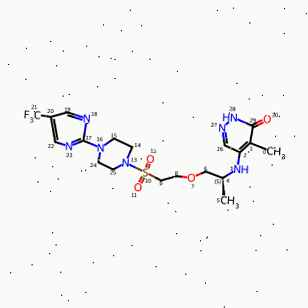 Cc1c(N[C@@H](C)COCCS(=O)(=O)N2CCN(c3ncc(C(F)(F)F)cn3)CC2)cn[nH]c1=O